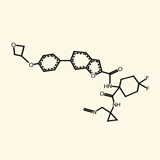 C=NCC1(NC(=O)C2(NC(=O)c3cc4ccc(-c5ccc(OC6COC6)cc5)cc4o3)CCC(F)(F)CC2)CC1